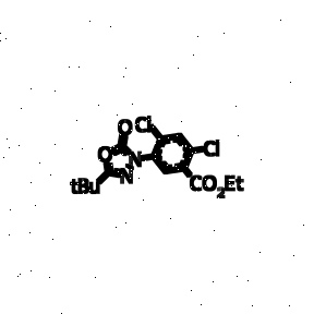 CCOC(=O)c1cc(-n2nc(C(C)(C)C)oc2=O)c(Cl)cc1Cl